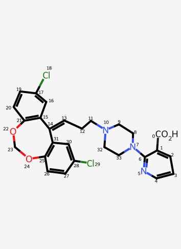 O=C(O)c1cccnc1N1CCN(CCC=C2c3cc(Cl)ccc3OCOc3ccc(Cl)cc32)CC1